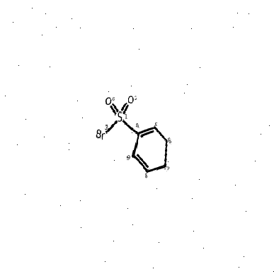 O=S(=O)(Br)C1=CC[CH]C=C1